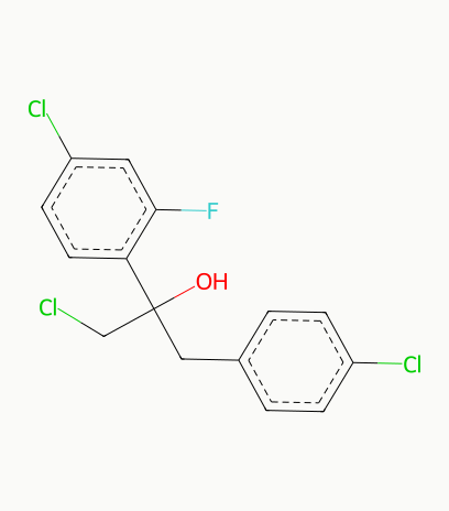 OC(CCl)(Cc1ccc(Cl)cc1)c1ccc(Cl)cc1F